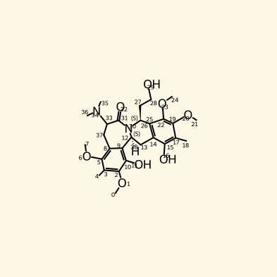 COc1c(C)c(OC)c2c(c1O)[C@@H]1Cc3c(O)c(C)c(OC)c(OC)c3[C@H](CCO)N1C(=O)C(N(C)C)C2